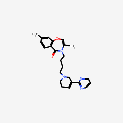 CC1=COc2cc(C)ccc2C(=O)N1CCCCN1CCC=C(c2ncccn2)C1